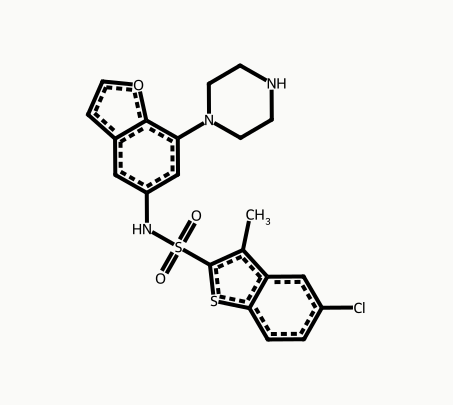 Cc1c(S(=O)(=O)Nc2cc(N3CCNCC3)c3occc3c2)sc2ccc(Cl)cc12